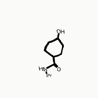 CC(C)NC(=O)C1CCC(O)CC1